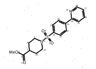 COC(=O)C1CCN(S(=O)(=O)c2ccc(-c3ccccn3)cc2)CC1